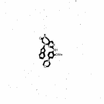 COc1cc(N2CCOCC2)ccc1Nc1ncc2c(n1)N(C1Cc3ccccc3C1)CC(=O)N(C)C2